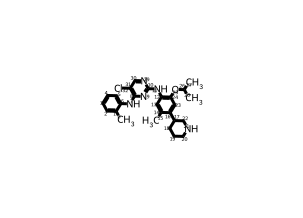 Cc1ccccc1Nc1nc(Nc2cc(C)c(C3CCCNC3)cc2OC(C)C)ncc1Cl